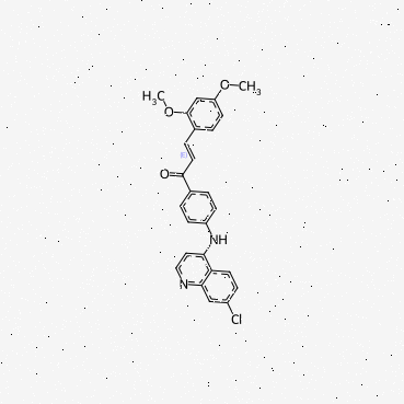 COc1ccc(/C=C/C(=O)c2ccc(Nc3ccnc4cc(Cl)ccc34)cc2)c(OC)c1